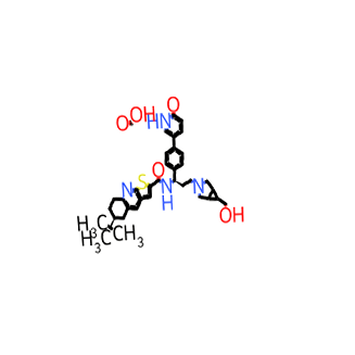 CC(C)(C)[C@H]1CCc2nc3sc(C(=O)N[C@H](CCN4CC5C(CO)C5C4)c4ccc(-c5ccc(=O)[nH]c5)cc4)cc3cc2C1.O=CO